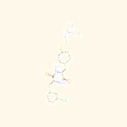 CN(C)CCSc1ccc(C=c2[nH]c(=O)c(=Cc3cccc(Cl)c3)[nH]c2=O)cc1